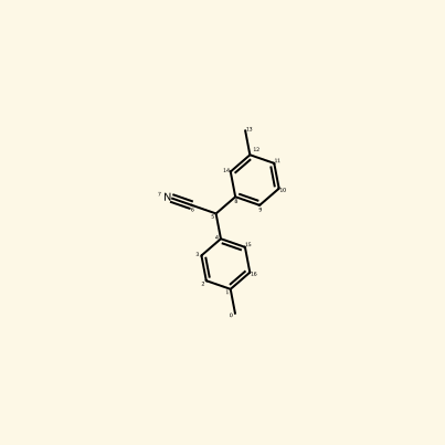 Cc1ccc(C(C#N)c2cccc(C)c2)cc1